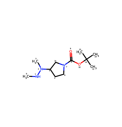 CNN(C)C1CCN(C(=O)OC(C)(C)C)C1